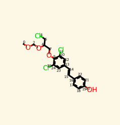 COCOC(CCl)COc1c(Cl)cc(C=Cc2ccc(O)cc2)cc1Cl